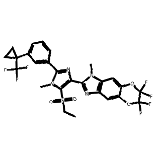 CCS(=O)(=O)c1c(-c2nc3cc4c(cc3n2C)OC(F)(F)C(F)(F)O4)nc(-c2cccc(C3(C(F)(F)F)CC3)c2)n1C